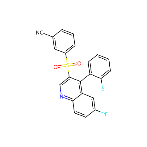 N#Cc1cccc(S(=O)(=O)c2cnc3ccc(F)cc3c2-c2ccccc2F)c1